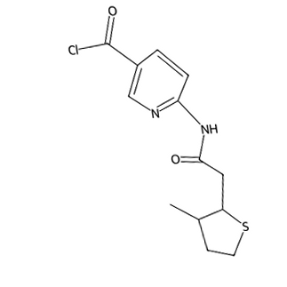 CC1CCSC1CC(=O)Nc1ccc(C(=O)Cl)cn1